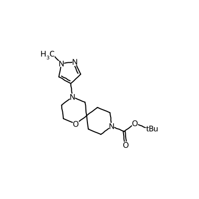 Cn1cc(N2CCOC3(CCN(C(=O)OC(C)(C)C)CC3)C2)cn1